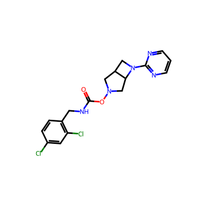 O=C(NCc1ccc(Cl)cc1Cl)ON1CC2CN(c3ncccn3)C2C1